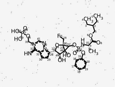 CCC(CC)COC(=O)[C@H](C)N[P@@](=O)(Oc1ccccc1)OC1[C@@]2(CF)O[C@@H](c3ccc4c(=N)n(COP(=O)(O)O)cnn34)[C@H](O)[C@@]12O